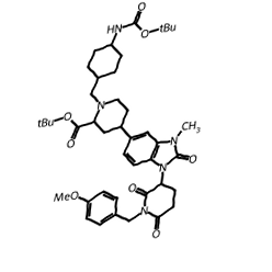 COc1ccc(CN2C(=O)CCC(n3c(=O)n(C)c4cc(C5CCN(CC6CCC(NC(=O)OC(C)(C)C)CC6)C(C(=O)OC(C)(C)C)C5)ccc43)C2=O)cc1